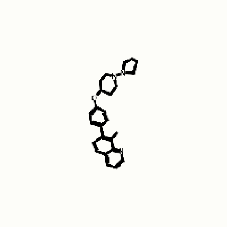 Cc1c(-c2ccc(OC3CCN(N4CCCC4)CC3)cc2)ccc2cccnc12